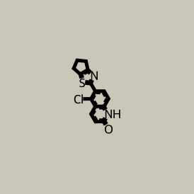 O=c1ccc2c(Cl)c(-c3nc4c(s3)CCC4)ccc2[nH]1